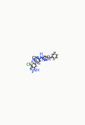 CN(Cc1ccc2[nH]cnc2c1Cl)c1nccc(Nc2cc(OCc3ccccc3)[nH]n2)n1